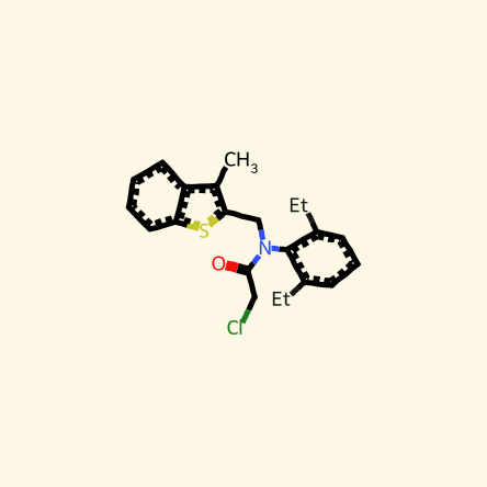 CCc1cccc(CC)c1N(Cc1sc2ccccc2c1C)C(=O)CCl